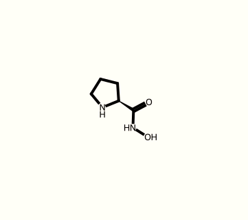 O=C(NO)[C@@H]1CCCN1